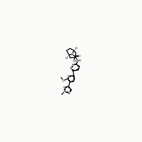 COc1nc(-c2ccc(NC3C[C@H]4CC[C@@H](C3)N4C(=O)O)nn2)ccc1-c1cnn(C)n1